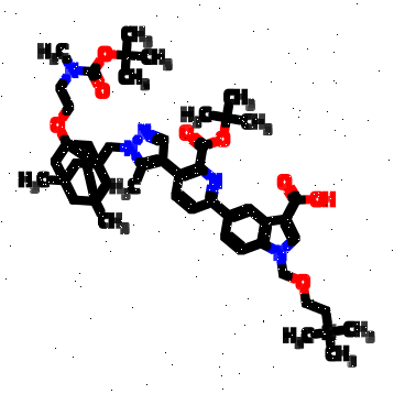 Cc1c(-c2ccc(-c3ccc4c(c3)c(C(=O)O)cn4COCC[Si](C)(C)C)nc2C(=O)OC(C)(C)C)cnn1CC12CC3(C)CC(C)(C1)CC(OCCN(C)C(=O)OC(C)(C)C)(C3)C2